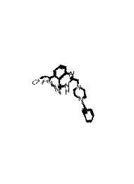 O=CC1NN=C2NC(CN3CCN(c4ccccc4)CC3)=Nc3cccc1c32